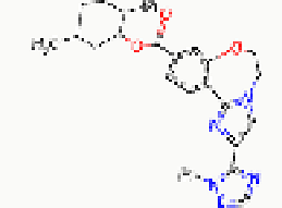 CC1CCC(C(C)C)C(OC(=O)c2ccc3c(c2)OCCn2cc(-c4ncnn4C(C)C)nc2-3)C1